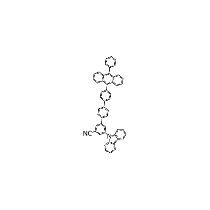 N#Cc1cc(-c2ccc(-c3ccc(-c4c5ccccc5c(-c5ccccc5)c5ccccc45)cc3)cc2)cc(-n2c3ccccc3c3ccccc32)c1